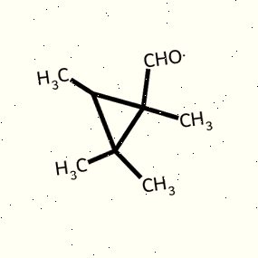 CC1C(C)(C)C1(C)[C]=O